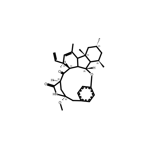 C=C[C@@]1(C)C=C(C)C2C3[C@@H](Oc4ccc(cc4)C[C@]4(OC)C[C@@H](C(=O)N4)C(=O)[C@@H]31)C1[C@H](C)C[C@@H](C)C[C@@]21C